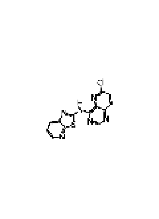 Clc1ccc2ncnc(Nc3nc4cccnc4s3)c2n1